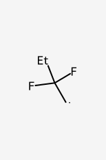 [CH2]CC([CH2])(F)F